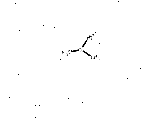 C[N](C)[Hf+3]